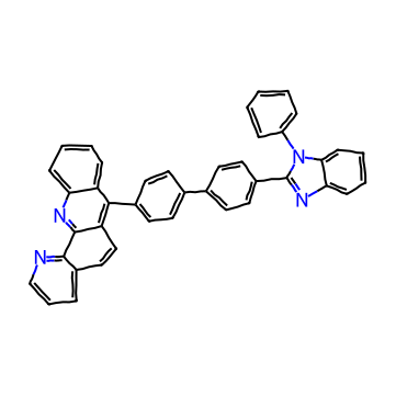 c1ccc(-n2c(-c3ccc(-c4ccc(-c5c6ccccc6nc6c5ccc5cccnc56)cc4)cc3)nc3ccccc32)cc1